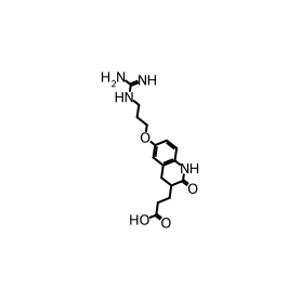 N=C(N)NCCCOc1ccc2c(c1)CC(CCC(=O)O)C(=O)N2